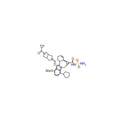 COc1ccc(C2CCCCC2)c2c1cc1n2CC2=C(C(=O)NS(N)(=O)=O)C2=C2C=CC[C@@H](C(=O)N3CC4CN(C(=O)C5CC5)CC4C3)C21